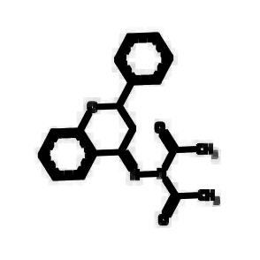 CC(=O)N(N=C1CC(c2ccccc2)Oc2ccccc21)C(C)=O